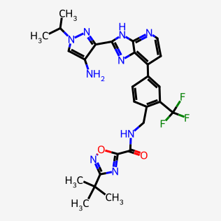 CC(C)n1cc(N)c(-c2nc3c(-c4ccc(CNC(=O)c5nc(C(C)(C)C)no5)c(C(F)(F)F)c4)ccnc3[nH]2)n1